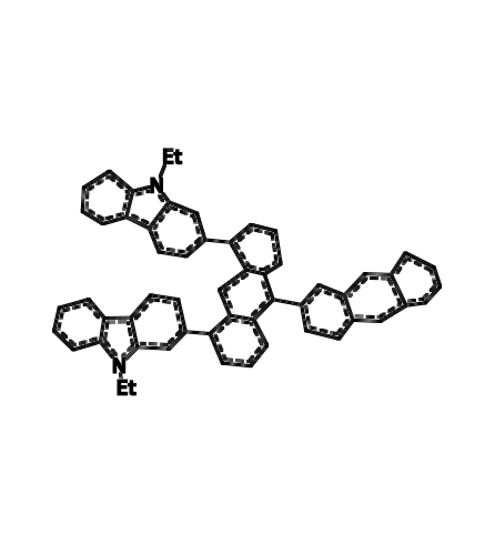 CCn1c2ccccc2c2ccc(-c3cccc4c(-c5ccc6cc7ccccc7cc6c5)c5cccc(-c6ccc7c8ccccc8n(CC)c7c6)c5cc34)cc21